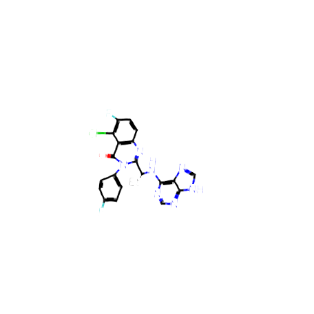 CC[C@H](Nc1ncnc2[nH]cnc12)c1nc2ccc(F)c(Cl)c2c(=O)n1-c1ccc(F)cc1